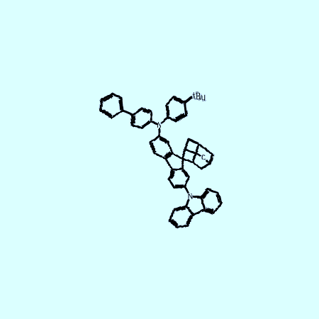 CC(C)(C)c1ccc(N(c2ccc(-c3ccccc3)cc2)c2ccc3c(c2)C2(c4cc(-n5c6ccccc6c6ccccc65)ccc4-3)C3CC4CC5CC2C53C4)cc1